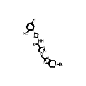 CCN1CCc2nc(Cn3cc(C(=O)N[C@H]4C[C@@H](c5cc(Cl)ccc5C#N)C4)nn3)sc2C1